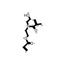 C=CC(=O)OCCN(CCO)C(=O)C(=C)C